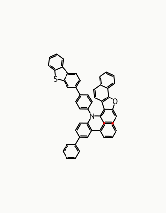 c1ccc(-c2ccc(N(c3ccc(-c4ccc5c(c4)sc4ccccc45)cc3)c3cccc4oc5c6ccccc6ccc5c34)c(-c3ccccc3)c2)cc1